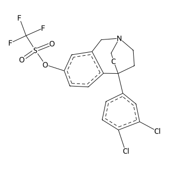 O=S(=O)(Oc1ccc2c(c1)CN1CCC2(c2ccc(Cl)c(Cl)c2)CC1)C(F)(F)F